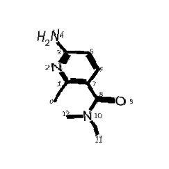 Cc1nc(N)ccc1C(=O)N(C)C